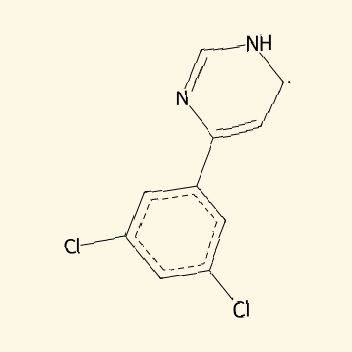 Clc1cc(Cl)cc(C2=C[CH]NC=N2)c1